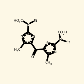 CCN(C(=O)O)c1nc(C)c(C(=O)c2sc(N(CC)C(=O)O)nc2C)s1